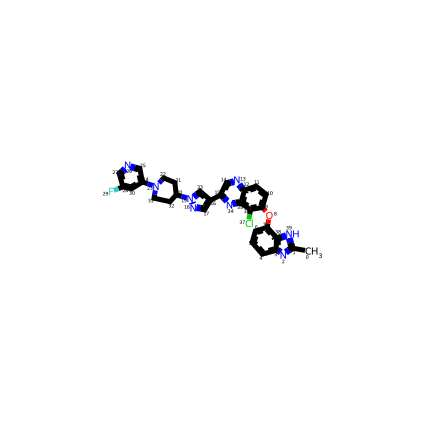 Cc1nc2cccc(Oc3ccc4ncc(-c5cnn(C6CCN(c7cncc(F)c7)CC6)c5)nc4c3Cl)c2[nH]1